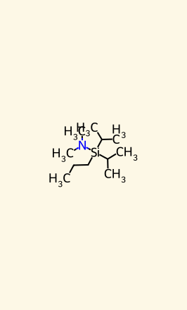 CCC[Si](C(C)C)(C(C)C)N(C)C